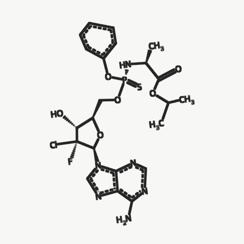 CC(C)OC(=O)[C@H](C)N[P@](=S)(OC[C@H]1O[C@@H](n2cnc3c(N)ncnc32)[C@@](F)(Cl)[C@@H]1O)Oc1ccccc1